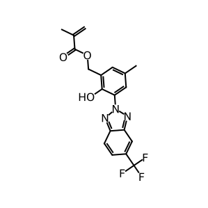 C=C(C)C(=O)OCc1cc(C)cc(-n2nc3ccc(C(F)(F)F)cc3n2)c1O